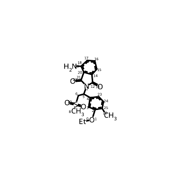 CCOc1cc(C(CS(C)(=O)=O)N2C(=O)c3cccc(N)c3C2=O)ccc1C